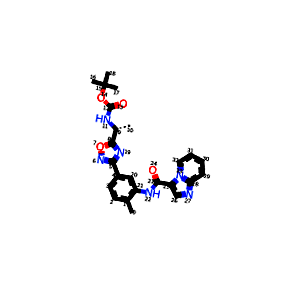 Cc1ccc(-c2noc([C@@H](C)NC(=O)OC(C)(C)C)n2)cc1NC(=O)c1cnc2ccccn12